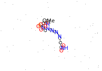 CCOc1cc([C@@H](CS(C)(=O)=O)N2C(=O)c3cccc(NC4CCN(C5CCN(CCCN6CCC(c7ccc(C8CCC(=O)NC8=O)cc7)CC6)CC5)CC4)c3C2=O)ccc1OC